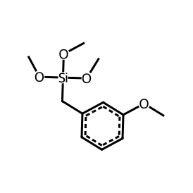 COc1cccc(C[Si](OC)(OC)OC)c1